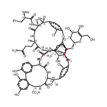 CN[C@H](CC(C)C)C(=O)N[C@H]1C(=O)N[C@@H](CCC(N)=O)C(=O)N[C@H]2C(=O)N[C@H]3C(=O)N[C@H](C(=O)N[C@H](C(=O)O)c4cc(O)cc(O)c4-c4cc3ccc4O)[C@H](O)c3ccc(c(Cl)c3)Oc3cc2cc(c3O[C@@H]2OC(CO)=C(O)[C@H](O)[C@H]2O[C@H]2C[C@](C)(N)[C@H](O)[C@H](C)O2)Oc2ccc(cc2Cl)[C@H]1O